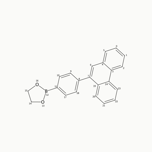 c1ccc2c(c1)cc(-c1ccc(B3OCCO3)cc1)c1ccccc12